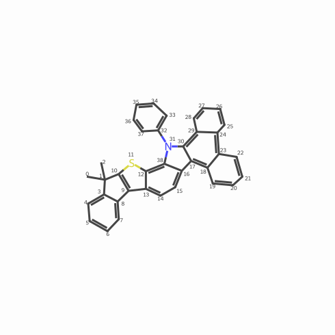 CC1(C)c2ccccc2-c2c1sc1c2ccc2c3c4ccccc4c4ccccc4c3n(-c3ccccc3)c21